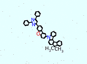 CC1(C)c2ccccc2-c2c1ccc1c2c2ccccc2n1-c1ccc2oc3cc(-c4cc(-c5ccccc5)nc(-c5ccccc5)n4)ccc3c2c1